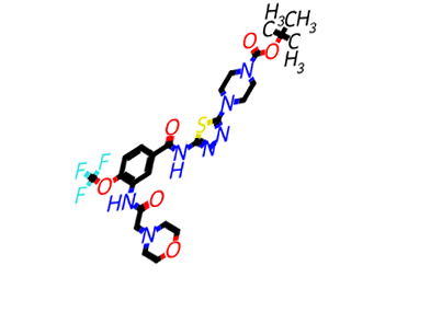 CC(C)(C)OC(=O)N1CCN(c2nnc(NC(=O)c3ccc(OC(F)(F)F)c(NC(=O)CN4CCOCC4)c3)s2)CC1